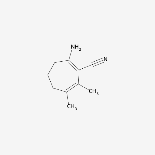 CC1=C(C)C(C#N)=C(N)CCC1